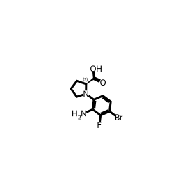 Nc1c(N2CCC[C@H]2C(=O)O)ccc(Br)c1F